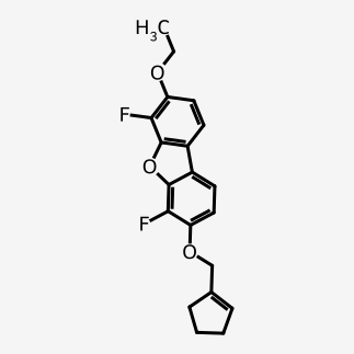 CCOc1ccc2c(oc3c(F)c(OCC4=CCCC4)ccc32)c1F